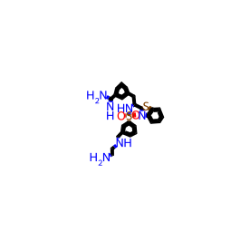 N=C(N)c1cccc(CC(NS(=O)(=O)c2cccc(CNCCN)c2)c2nc3ccccc3s2)c1